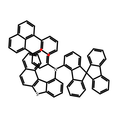 c1ccc(-c2cccc3cccc(-c4ccc(N(c5cccc6c5-c5ccccc5C65c6ccccc6-c6ccccc65)c5cccc6sc7ccc8ccccc8c7c56)cc4)c23)cc1